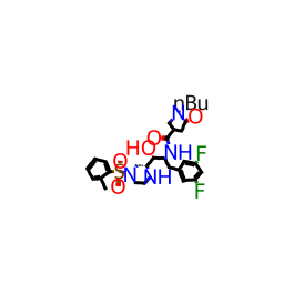 CCCCN1CC(C(=O)NC(Cc2cc(F)cc(F)c2)[C@H](O)[C@H]2CN(S(=O)(=O)c3ccccc3C)CCN2)CC1=O